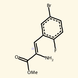 COC(=O)/C(N)=C/c1cc(Br)ccc1F